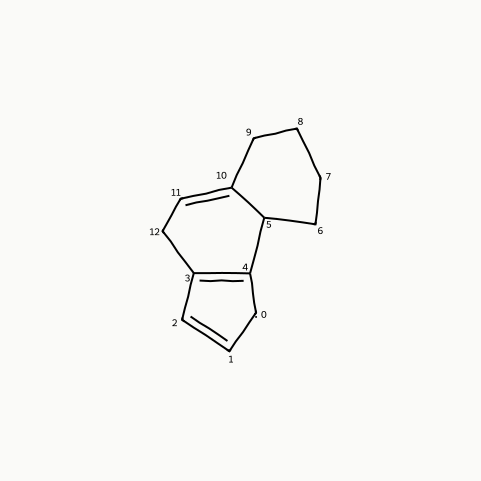 [CH]1C=CC2=C1C1CCCCC1=CC2